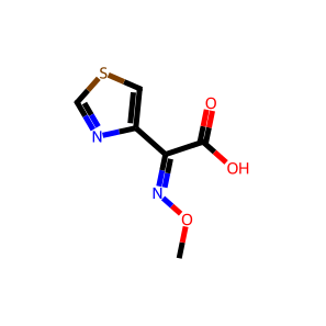 CO/N=C(\C(=O)O)c1cscn1